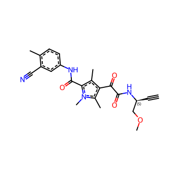 C#C[C@@H](COC)NC(=O)C(=O)c1c(C)c(C(=O)Nc2ccc(C)c(C#N)c2)n(C)c1C